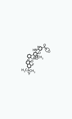 Cn1nc(-c2cccc(-n3ccc4cc(C(C)(C)CF)cc(F)c4c3=O)c2CN=O)cc(Nc2ccc(C(=O)N3CCOCC3)cn2)c1=O